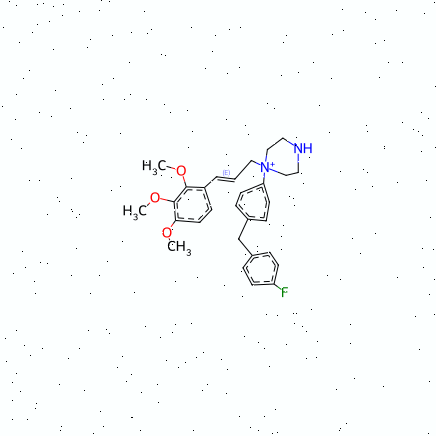 COc1ccc(/C=C/C[N+]2(c3ccc(Cc4ccc(F)cc4)cc3)CCNCC2)c(OC)c1OC